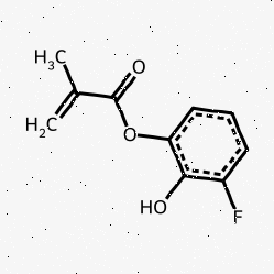 C=C(C)C(=O)Oc1cccc(F)c1O